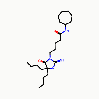 CCCCC1(CCCC)NC(=N)N(CCCCC(=O)NC2CCCCCC2)C1=O